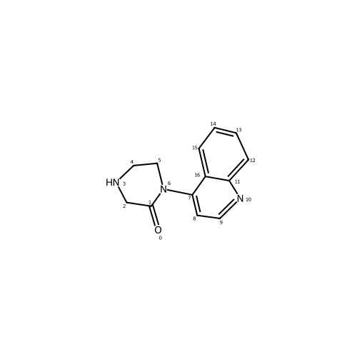 O=C1CNCCN1c1ccnc2ccccc12